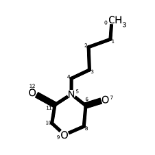 CCCCCN1C(=O)COCC1=O